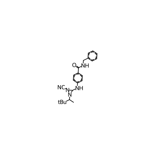 CC(N1C(Nc2ccc(C(=O)NCc3ccccc3)cc2)N1C#N)C(C)(C)C